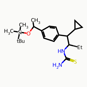 CCC(NC(N)=S)C(c1ccc(C(C)O[Si](C)(C)C(C)(C)C)cc1)C1CC1